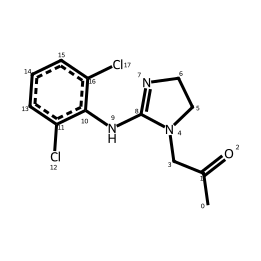 CC(=O)CN1CCN=C1Nc1c(Cl)cccc1Cl